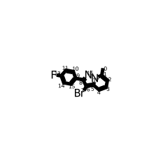 Cc1cccc2c(Br)c(-c3ccc(F)cc3)nn12